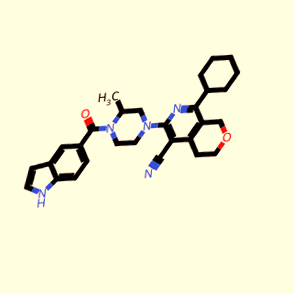 CC1CN(c2nc(C3CCCCC3)c3c(c2C#N)CCOC3)CCN1C(=O)c1ccc2[nH]ccc2c1